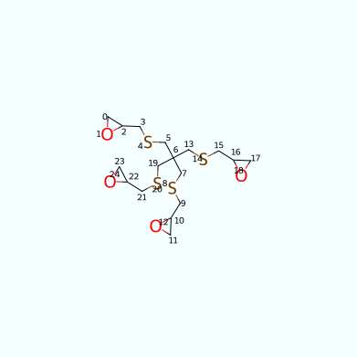 C1OC1CSCC(CSCC1CO1)(CSCC1CO1)CSCC1CO1